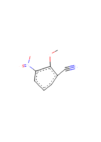 COc1c(C#N)cccc1[N+](=O)[O-]